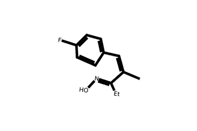 CCC(=NO)C(C)=Cc1ccc(F)cc1